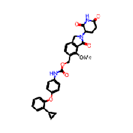 COc1c(COC(=O)Nc2ccc(Oc3ccccc3C3CC3)cc2)ccc2c1C(=O)N(C1CCC(=O)NC1=O)C2